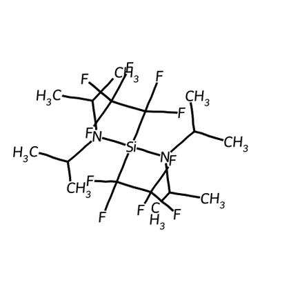 CC(C)N(C(C)C)[Si](N(C(C)C)C(C)C)(C(F)(F)C(F)(F)F)C(F)(F)C(F)(F)F